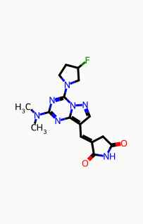 CN(C)c1nc(N2CCC(F)C2)n2ncc(/C=C3\CC(=O)NC3=O)c2n1